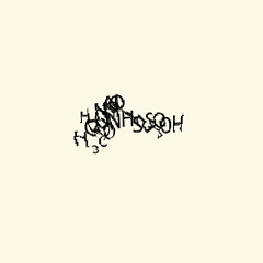 CC(OC(=O)Nc1c(N)noc1C#Cc1cc2sc(C3(C(=O)O)CC3)cc2s1)c1ccccc1